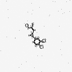 O=C/C(F)=C\C1CC1c1ccc(Cl)c(Cl)c1